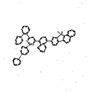 CC1(C)c2cc(-c3ccc(-c4cc(-c5ccccc5-c5ccccc5)nc(-c5ccc(-c6ccccc6)cc5)n4)c4ccccc34)ccc2-c2ccc3ccccc3c21